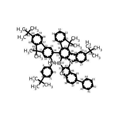 CC(C)(C)c1ccc(Nc2cc3c(cc2-c2c4c(c5c6cc(C(C)(C)C)ccc6n6c5c2Bc2oc5ccc(-c7ccccc7)cc5c2-6)C(C)(C)c2ccccc2-4)-c2ccc(C(C)(C)C)cc2C3(C)C)cc1